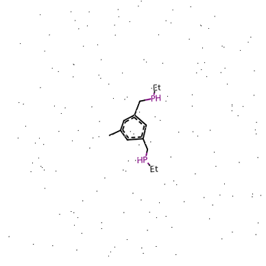 CCPCc1cc(C)cc(CPCC)c1